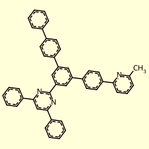 Cc1cccc(-c2ccc(-c3cc(-c4ccc(-c5ccccc5)cc4)cc(-c4nc(-c5ccccc5)cc(-c5ccccc5)n4)c3)cc2)n1